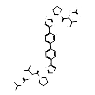 CC(C)OC(=O)N[C@H](C(=O)N1CCC[C@H]1c1nc(-c2ccc(-c3ccc(-c4c[nH]c([C@@H]5CCCN5C(=O)[C@@H](NC(=O)O)C(C)C)n4)cc3)cc2)c[nH]1)C(C)C